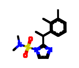 Cc1cccc(C(C)c2nccn2S(=O)(=O)N(C)C)c1C